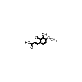 COc1ccc(C=CC(=O)O)c(Cl)c1O